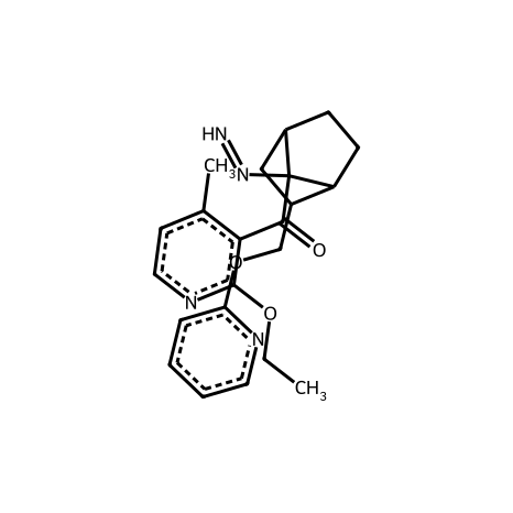 CCOc1nccc(C)c1C(=O)C1(N=N)C2CCC1C(COc1ccccn1)C2